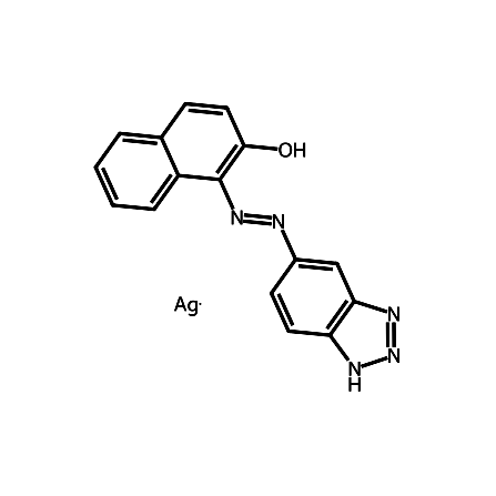 Oc1ccc2ccccc2c1N=Nc1ccc2[nH]nnc2c1.[Ag]